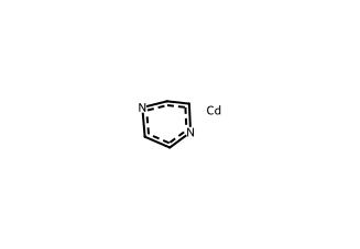 [Cd].c1cnccn1